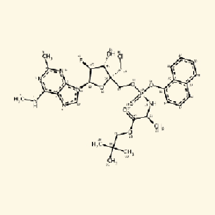 CNc1nc(C)nc2c1ncn2[C@@H]1O[C@](CCl)(CO[P@](=S)(N[C@@H](C)C(=O)OCC(C)(C)C)Oc2cccc3ccccc23)[C@@H](O)[C@@H]1F